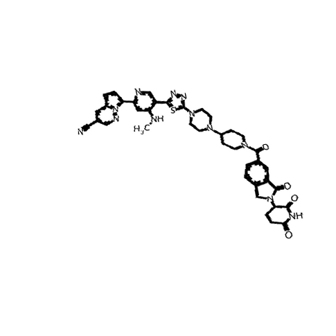 CNc1cc(-c2ccc3cc(C#N)cnn23)ncc1-c1nnc(N2CCN(C3CCN(C(=O)c4ccc5c(c4)C(=O)N(C4CCC(=O)NC4=O)C5)CC3)CC2)s1